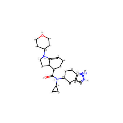 O=C(C1CCC=C2C1CCN2C1CCOCC1)N(C1CC1)C1CCc2[nH]ncc2C1